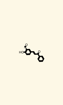 O=Nc1cc(/C=C/C(=O)c2ccccc2)ccc1O